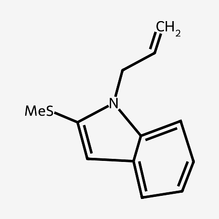 C=CCn1c(SC)cc2ccccc21